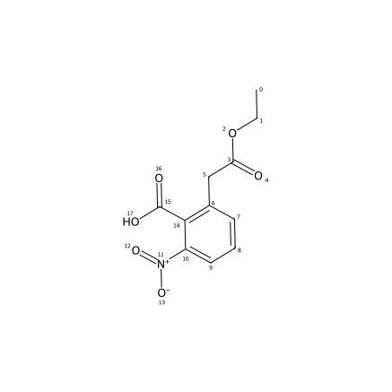 CCOC(=O)Cc1cccc([N+](=O)[O-])c1C(=O)O